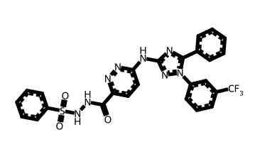 O=C(NNS(=O)(=O)c1ccccc1)c1ccc(Nc2nc(-c3ccccc3)n(-c3cccc(C(F)(F)F)c3)n2)nn1